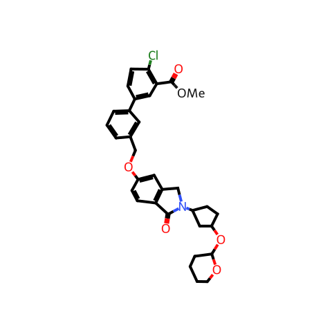 COC(=O)c1cc(-c2cccc(COc3ccc4c(c3)CN(C3CCC(OC5CCCCO5)C3)C4=O)c2)ccc1Cl